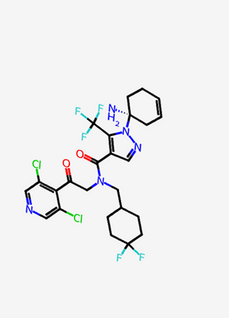 N[C@@]1(n2ncc(C(=O)N(CC(=O)c3c(Cl)cncc3Cl)CC3CCC(F)(F)CC3)c2C(F)(F)F)CC=CCC1